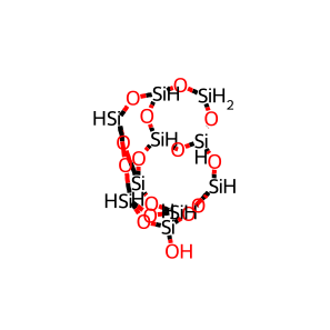 O[SiH]1O[SiH]2O[SiH]3O[SiH2]O[SiH]4O[SiH](O3)O[SiH]3O[SiH](O4)O[SiH](O1)O[SiH](O2)O3